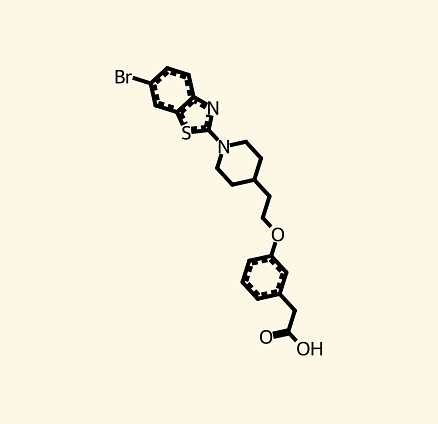 O=C(O)Cc1cccc(OCCC2CCN(c3nc4ccc(Br)cc4s3)CC2)c1